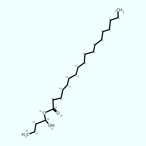 CCCCCCCCCCCCCCCCCC(=O)OC(O)CCC